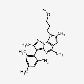 Cc1cc(C)c(-c2c(C)nn3c2nc(C)c2cc(C)n(CCCOC(C)C)c23)c(C)c1